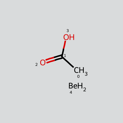 CC(=O)O.[BeH2]